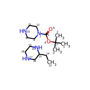 CC(C)(C)OC(=O)N1CCNCC1.CCC1CNCCN1